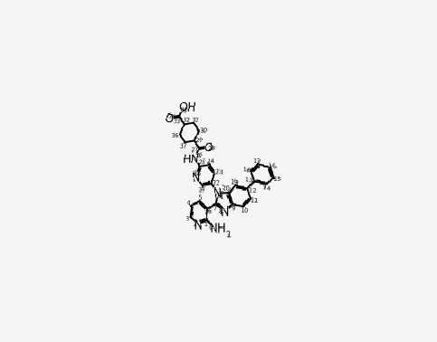 Nc1ncccc1-c1nc2ccc(-c3ccccc3)cc2n1-c1ccc(NC(=O)C2CCC(C(=O)O)CC2)nc1